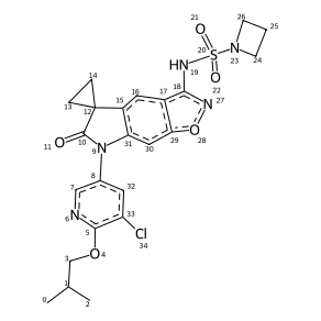 CC(C)COc1ncc(N2C(=O)C3(CC3)c3cc4c(NS(=O)(=O)N5CCC5)noc4cc32)cc1Cl